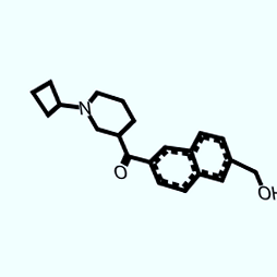 O=C(c1ccc2cc(CO)ccc2c1)C1CCCN(C2CCC2)C1